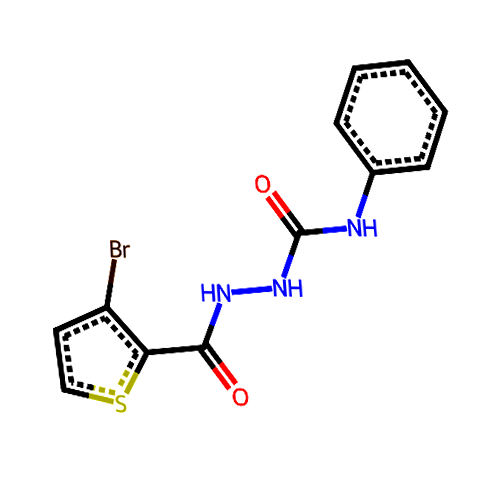 O=C(NNC(=O)c1sccc1Br)Nc1ccccc1